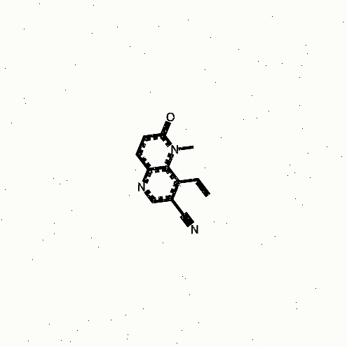 C=Cc1c(C#N)cnc2ccc(=O)n(C)c12